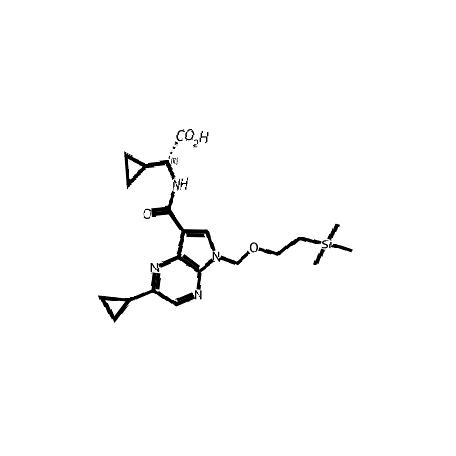 C[Si](C)(C)CCOCn1cc(C(=O)N[C@@H](C(=O)O)C2CC2)c2nc(C3CC3)cnc21